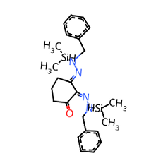 C[SiH](C)N(Cc1ccccc1)N=C1CCCC(=O)C1=NN(Cc1ccccc1)[SiH](C)C